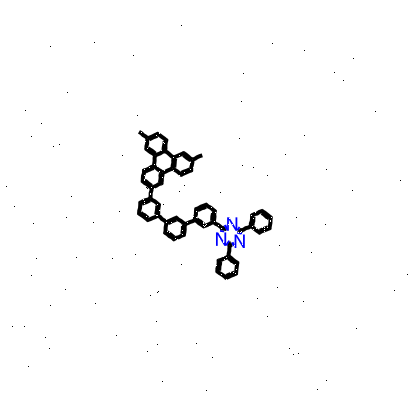 Cc1ccc2c(c1)c1ccc(C)cc1c1ccc(-c3cccc(-c4cccc(-c5cccc(-c6nc(-c7ccccc7)nc(-c7ccccc7)n6)c5)c4)c3)cc21